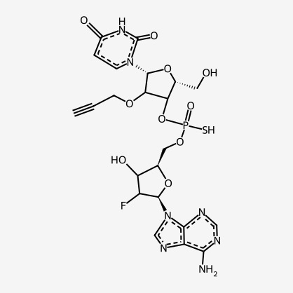 C#CCOC1C(OP(=O)(S)OC[C@H]2O[C@@H](n3cnc4c(N)ncnc43)C(F)C2O)[C@@H](CO)O[C@H]1n1ccc(=O)[nH]c1=O